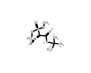 COP(=O)(OC)C(=[N+]=[N-])C(=O)OC(C)(C)C